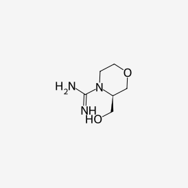 N=C(N)N1CCOC[C@H]1CO